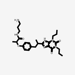 CCCn1c(=O)c2nc(C(C)Cc3ccc(OC(C)C(=O)NCCCN)cc3)[nH]c2n(CCC)c1=O